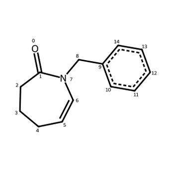 O=C1CCCC=CN1Cc1ccccc1